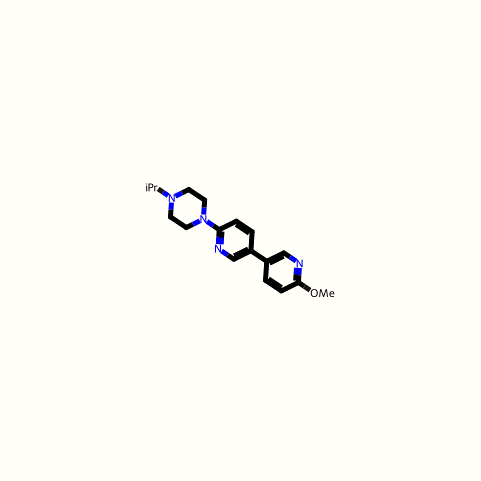 COc1ccc(-c2ccc(N3CCN(C(C)C)CC3)nc2)cn1